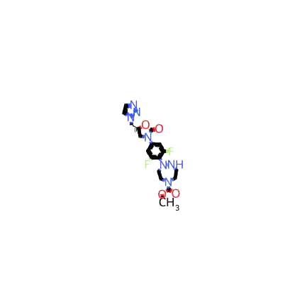 COC(=O)N1CCNN(c2c(F)cc(N3C[C@H](Cn4ccnn4)OC3=O)cc2F)CC1